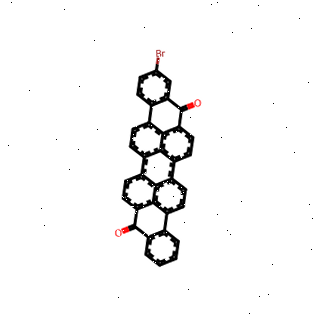 O=C1c2ccccc2-c2ccc3c4ccc5c6c(ccc(c7ccc1c2c37)c64)-c1ccc(Br)cc1C5=O